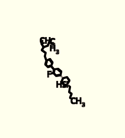 CCCCC[Si@H]1CC[C@H](c2ccc(-c3ccc(CCCC(CC)CCC)cc3)c(F)c2)CC1